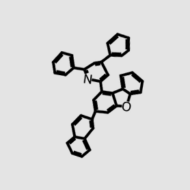 c1ccc(-c2cc(-c3ccccc3)nc(-c3cc(-c4ccc5ccccc5c4)cc4oc5ccccc5c34)c2)cc1